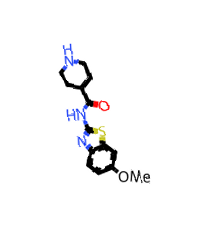 COc1ccc2nc(NC(=O)C3CCNCC3)sc2c1